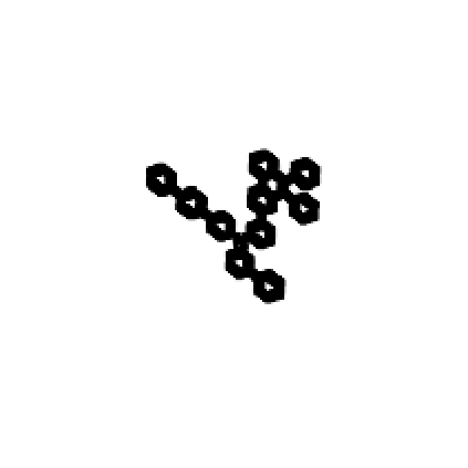 c1ccc(-c2ccc(-c3ccc(N(c4cccc(-c5ccccc5)c4)c4cccc(-c5ccc6c(c5)c(-c5ccccc5)c(-c5ccccc5)c5ccccc56)c4)cc3)cc2)cc1